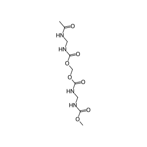 COC(=O)NCNC(=O)OCOC(=O)NCNC(C)=O